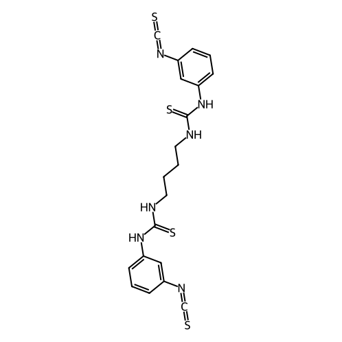 S=C=Nc1cccc(NC(=S)NCCCCNC(=S)Nc2cccc(N=C=S)c2)c1